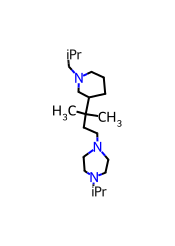 CC(C)CN1CCCC(C(C)(C)CCN2CCN(C(C)C)CC2)C1